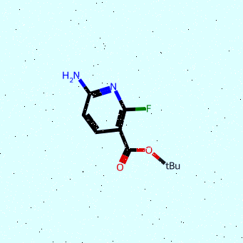 CC(C)(C)OC(=O)c1ccc(N)nc1F